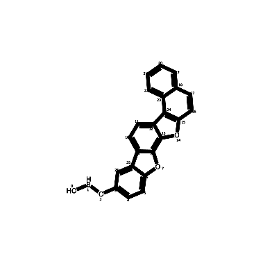 OBOc1ccc2oc3c(ccc4c3oc3ccc5ccccc5c34)c2c1